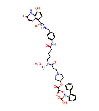 CN(CCCCC(=O)Nc1ccc(CNC[C@@H](O)c2ccc(O)c3[nH]c(=O)ccc23)cc1)C(=O)CCN1CCC(OC(=O)C(=O)ON(C(=O)O)c2ccccc2-c2ccccc2)CC1.O